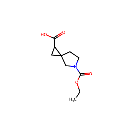 CCOC(=O)N1CCC2(CC2C(=O)O)C1